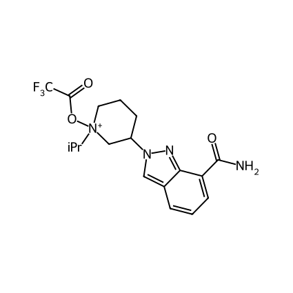 CC(C)[N+]1(OC(=O)C(F)(F)F)CCCC(n2cc3cccc(C(N)=O)c3n2)C1